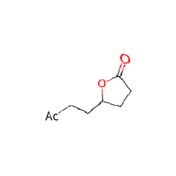 CC(=O)CCC1CCC(=O)O1